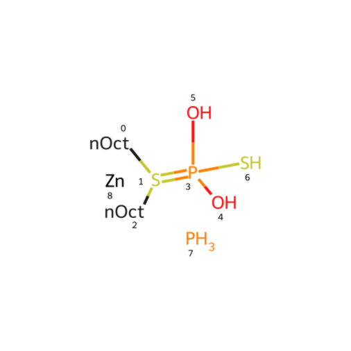 CCCCCCCCS(CCCCCCCC)=P(O)(O)S.P.[Zn]